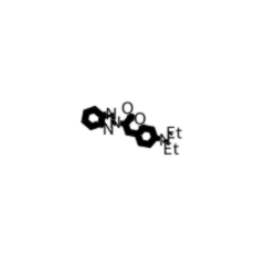 CCN(CC)c1ccc2cc(-n3nc4ccccc4n3)c(=O)oc2c1